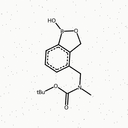 CN(Cc1cccc2c1COB2O)C(=O)OC(C)(C)C